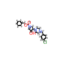 O=C(OCc1ccccc1)N1CC(N2CCN(Cc3ccc(Cl)cc3)CC2)[C@H](O)C1